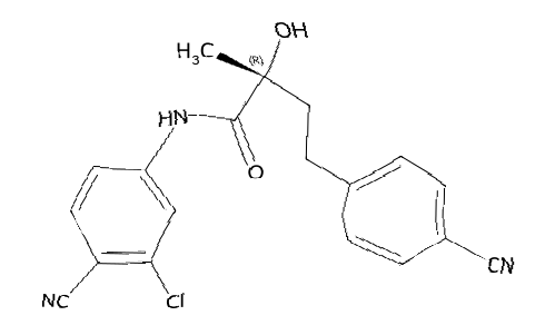 C[C@@](O)(CCc1ccc(C#N)cc1)C(=O)Nc1ccc(C#N)c(Cl)c1